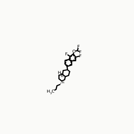 CCCC[C@@H]1CC[C@@H]2CC(c3ccc4c(F)c(OC(F)F)c(F)cc4c3)CCC2C1